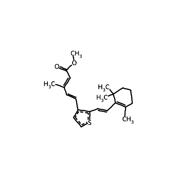 COC(=O)C=C(C)C=Cc1ccsc1C=CC1=C(C)CCCC1(C)C